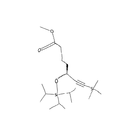 COC(=O)CCC[C@@H](C#C[Si](C)(C)C)O[Si](C(C)C)(C(C)C)C(C)C